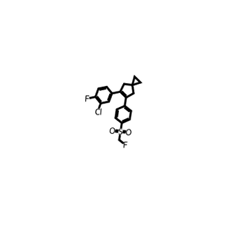 O=S(=O)(CF)c1ccc(C2=C(c3ccc(F)c(Cl)c3)CC3(CC3)C2)cc1